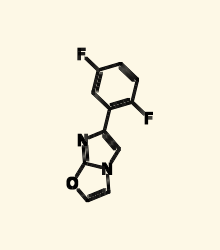 Fc1ccc(F)c(-c2cn3ccoc3n2)c1